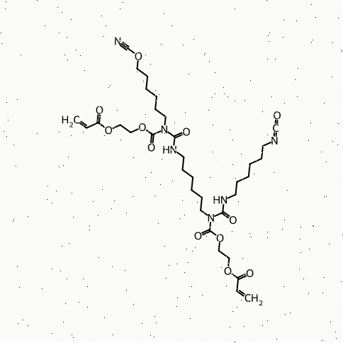 C=CC(=O)OCCOC(=O)N(CCCCCCNC(=O)N(CCCCCCOC#N)C(=O)OCCOC(=O)C=C)C(=O)NCCCCCCN=C=O